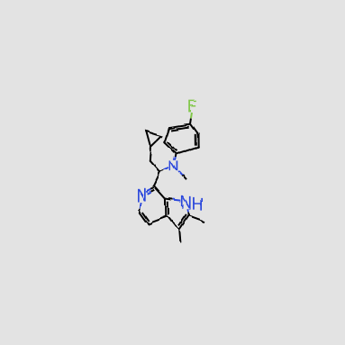 Cc1[nH]c2c(C(CC3CC3)N(C)c3ccc(F)cc3)nccc2c1C